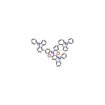 c1ccc(-n2c3ccccc3c3c(-c4ccc5c(c4)Oc4cc6c7ccccc7n(-c7ccccc7)c6c6c4N5c4ccc(-c5cccc7c5c5ccccc5n7-c5ccccc5)cc4O6)cccc32)cc1